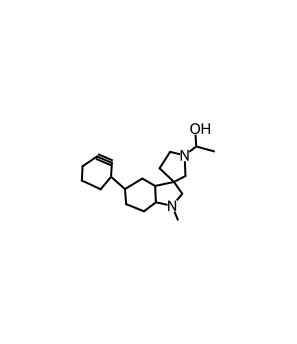 CC(O)N1CCC2(CN(C)C3CCC(C4C#CCCC4)CC32)C1